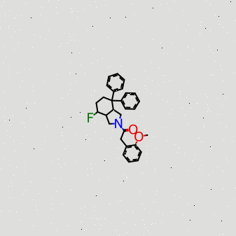 COc1ccccc1CC(=O)N1CC2C(F)CCC(c3ccccc3)(c3ccccc3)C2C1